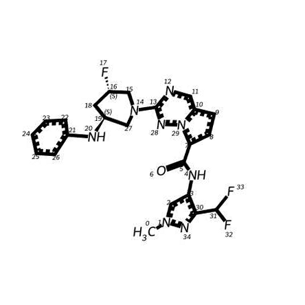 Cn1cc(NC(=O)c2ccc3cnc(N4C[C@@H](F)C[C@H](Nc5ccccc5)C4)nn23)c(C(F)F)n1